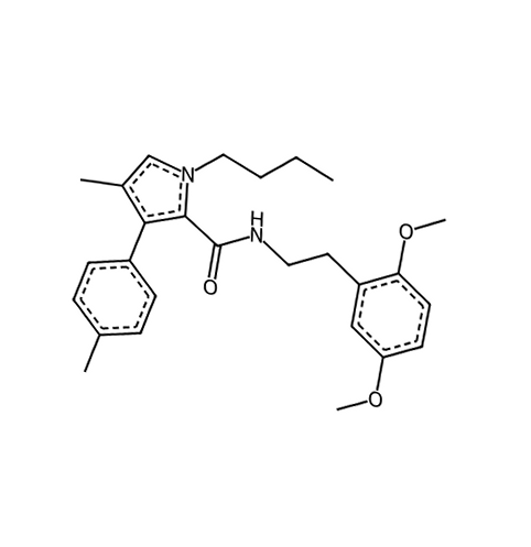 CCCCn1cc(C)c(-c2ccc(C)cc2)c1C(=O)NCCc1cc(OC)ccc1OC